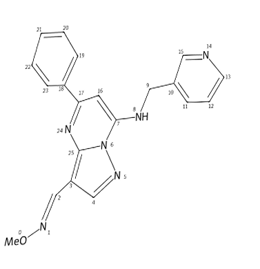 CON=Cc1cnn2c(NCc3cccnc3)cc(-c3ccccc3)nc12